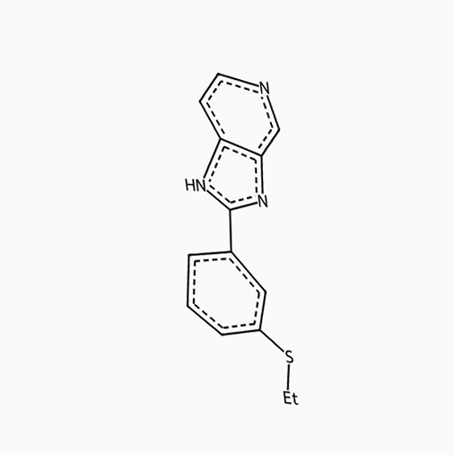 CCSc1cccc(-c2nc3cnccc3[nH]2)c1